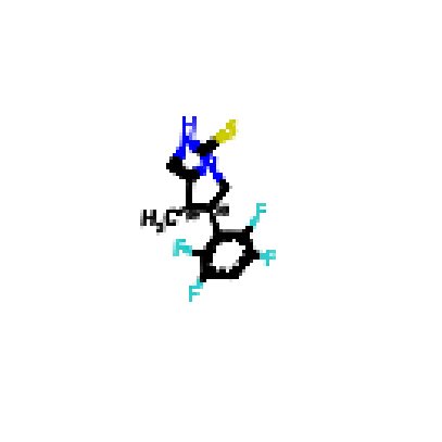 C[C@@H]1c2c[nH]c(=S)n2C[C@H]1c1c(F)c(F)cc(F)c1F